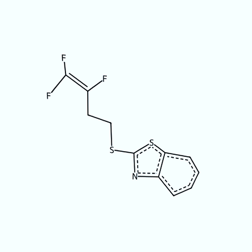 FC(F)=C(F)CCSc1nc2ccccc2s1